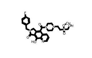 COP(=O)(CO)CCN1CCN(C(=O)c2c3c(c(O)c4ncccc24)C(=O)N(Cc2ccc(F)cc2)C3)CC1